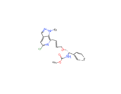 CCn1ncc2cc(Cl)nc(C=CCOC[C@@H](NC(=O)OC(C)(C)C)c3ccccc3)c21